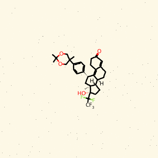 CC1(C)OCC(C)(c2ccc([C@H]3C[C@@]4(C)[C@@H](CC[C@@]4(O)C(F)(F)C(F)(F)F)[C@@H]4CCC5=CC(=O)CCC5=C43)cc2)CO1